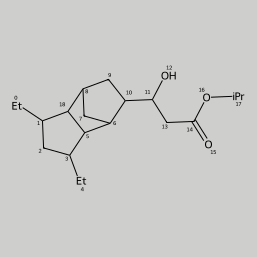 CCC1CC(CC)C2C3CC(CC3C(O)CC(=O)OC(C)C)C12